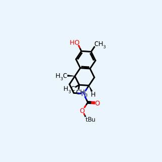 Cc1cc2c(cc1O)[C@@]1(C)CCN(C(=O)OC(C)(C)C)[C@@H](C2)C1(C)C